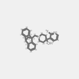 OC1(c2cccnc2F)CCN(CC23CC(c4ccccc42)c2ccccc23)CC1